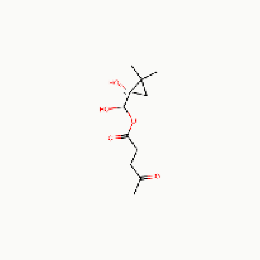 CC(=O)CCC(=O)OC(O)[C@]1(O)CC1(C)C